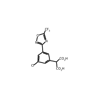 O=C(O)C(C(=O)O)c1cc(Cl)cc(-c2noc(C(F)(F)F)n2)c1